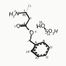 C[C@@H](N)CC(=O)OCc1ccccc1.O=S(=O)(O)O